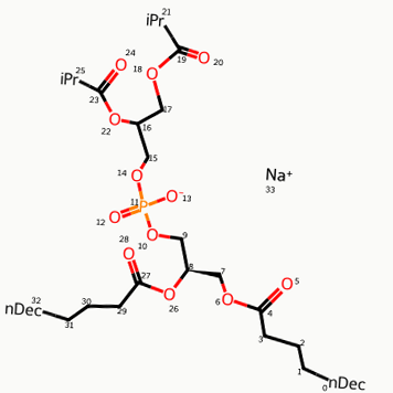 CCCCCCCCCCCCCC(=O)OC[C@H](COP(=O)([O-])OCC(COC(=O)C(C)C)OC(=O)C(C)C)OC(=O)CCCCCCCCCCCCC.[Na+]